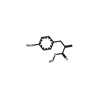 C=C(Cc1ccc(OC)cc1)C(=O)OCCC